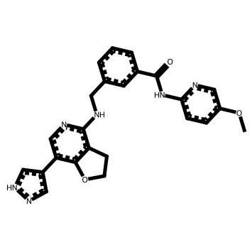 COc1ccc(NC(=O)c2cccc(CNc3ncc(-c4cn[nH]c4)c4c3CCO4)c2)nc1